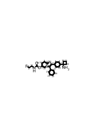 NC1(c2ccc(-c3nc4ccc(OC(=O)NCCF)cn4c3-c3ccccc3)cc2)CCC1